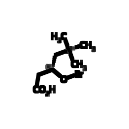 C[N+](C)(C)C[C@@H](CC(=O)O)OBr